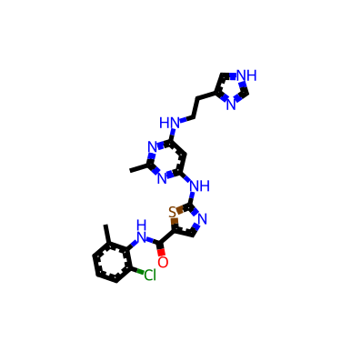 Cc1nc(NCCc2c[nH]cn2)cc(Nc2ncc(C(=O)Nc3c(C)cccc3Cl)s2)n1